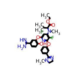 CCOC(=O)C(C(C)C)N(C)c1c(F)c(Oc2cccc(C3=NCCN3C)c2)nc(Oc2cc(C(=N)N)ccc2O)c1F